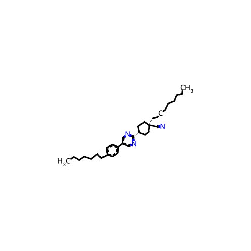 CCCCCCCCC[C@]1(C#N)CC[C@H](c2ncc(-c3ccc(CCCCCCC)cc3)cn2)CC1